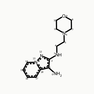 Nc1c(NCCN2CCOCC2)nn2ccccc12